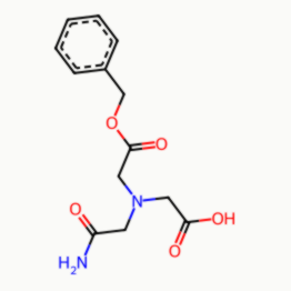 NC(=O)CN(CC(=O)O)CC(=O)OCc1ccccc1